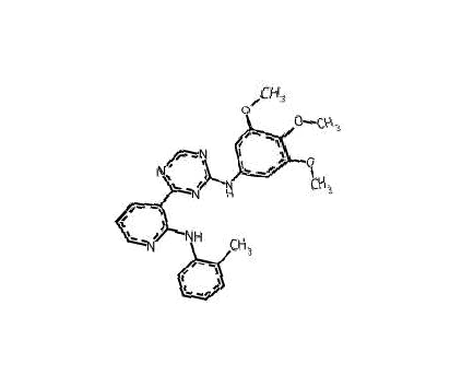 COc1cc(Nc2ncnc(-c3cccnc3Nc3ccccc3C)n2)cc(OC)c1OC